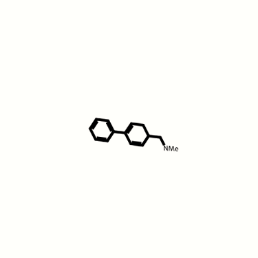 CNCC1C=CC(c2ccccc2)=CC1